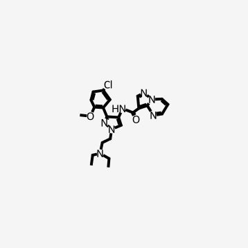 CCN(CC)CCn1cc(NC(=O)c2cnn3cccnc23)c(-c2cc(Cl)ccc2OC)n1